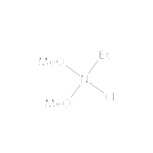 CC[N+](Cl)(OC)OC